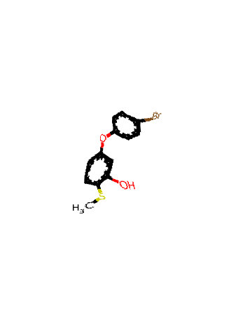 CSc1ccc(Oc2ccc(Br)cc2)cc1O